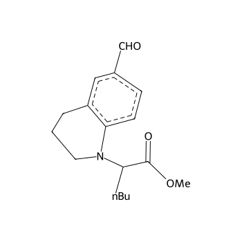 CCCCC(C(=O)OC)N1CCCc2cc(C=O)ccc21